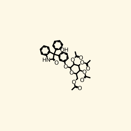 CC(=O)OCC1OC(Oc2ccc(O)c(C3(c4ccccc4)C(=O)Nc4ccccc43)c2)C(OC(C)=O)C(OC(C)=O)C1OC(C)=O